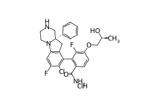 C[C@H](O)COc1ccc(C(N)=O)c(-c2c(Cl)c(F)cc3c2C[C@]2(c4ccccc4)CNCCN32)c1F.Cl